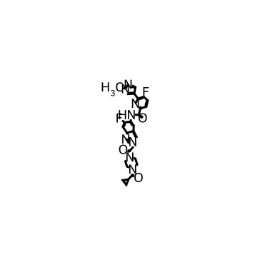 Cn1cc(-c2nc(C(=O)Nc3cc4cn(CC(=O)N5CCN(C(=O)C6CC6)CC5)nc4cc3F)ccc2F)cn1